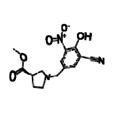 COC(=O)[C@@H]1CCN(Cc2cc(C#N)c(O)c([N+](=O)[O-])c2)C1